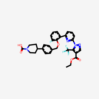 CCOC(=O)c1cnn(-c2cccc(-c3cccc(F)c3OCc3ccc(C4CCN(C(=O)O)CC4)cc3)n2)c1C(F)(F)F